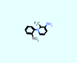 NC1=CC=CN(c2ccccc2[N+](=O)[O-])C1C(F)(F)F